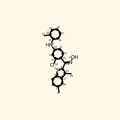 Cc1ccc2sc(C(=NO)c3ccc(Nc4ccccc4C)cc3Cl)c(C)c2c1